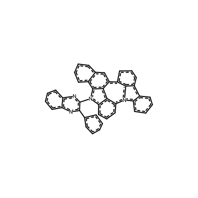 c1ccc(-c2nc3ccccc3nc2-n2c3cccc4c3c3c(cc5ccccc5c32)c2cccc3c5ccccc5n4c23)cc1